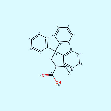 CCC(CC(c1ccccc1)(c1ccccc1)c1ccccc1)C(=O)O